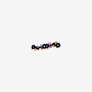 c1ccc2c(c1)sc1cc(-c3nc4cc5cc6oc(-c7cc8sc9ccccc9c8s7)nc6cc5cc4o3)sc12